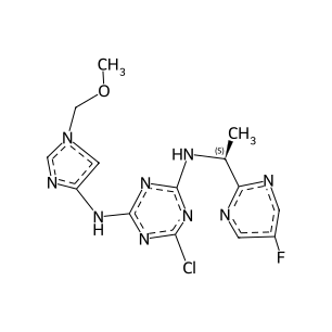 COCn1cnc(Nc2nc(Cl)nc(N[C@@H](C)c3ncc(F)cn3)n2)c1